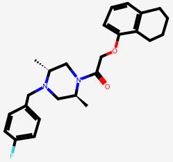 C[C@@H]1CN(C(=O)COc2cccc3c2CCCC3)[C@@H](C)CN1Cc1ccc(F)cc1